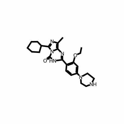 CCOc1cc(N2CCNCC2)ccc1-c1nc2c(C)nc(C3CCCCC3)n2c(=O)[nH]1